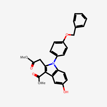 COC(=O)Cc1c(C(=O)OC)c2cc(O)ccc2n1-c1ccc(OCc2ccccc2)cc1